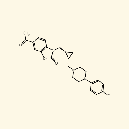 CC(=O)c1ccc2c(c1)oc(=O)n2C[C@H]1C[C@@H]1CN1CCN(c2ccc(F)cc2)CC1